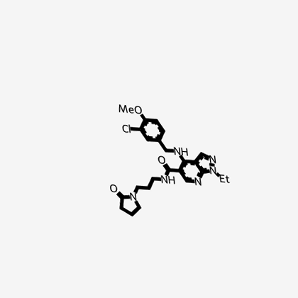 CCn1ncc2c(NCc3ccc(OC)c(Cl)c3)c(C(=O)NCCCN3CCCC3=O)cnc21